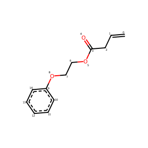 C=CCC(=O)OCCOc1ccccc1